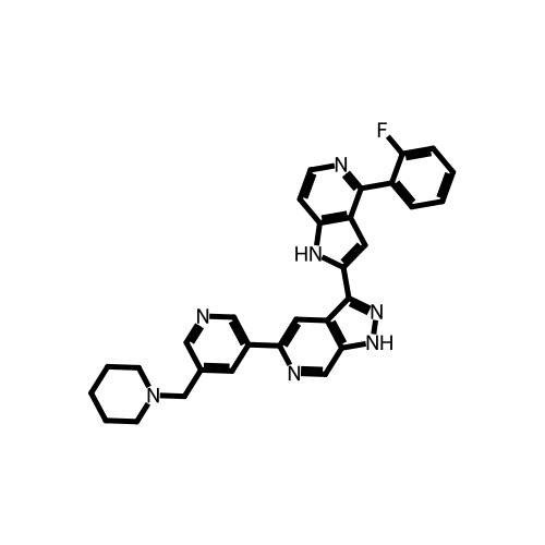 Fc1ccccc1-c1nccc2[nH]c(-c3n[nH]c4cnc(-c5cncc(CN6CCCCC6)c5)cc34)cc12